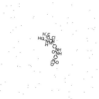 CCOc1c(Cl)nc(-c2ccc(NC(=O)Nc3ccc(N4CCOCC4=O)cc3)cc2)nc1NCCO